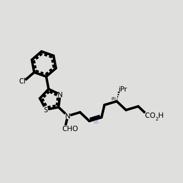 CC(C)[C@@H](C/C=C\CN(C=O)c1nc(-c2ccccc2Cl)cs1)CCC(=O)O